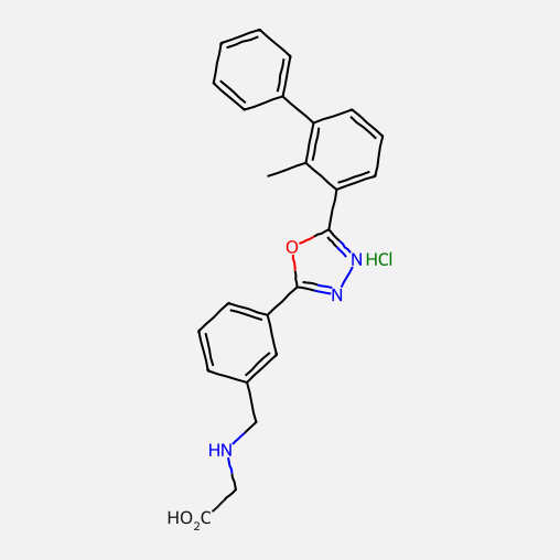 Cc1c(-c2ccccc2)cccc1-c1nnc(-c2cccc(CNCC(=O)O)c2)o1.Cl